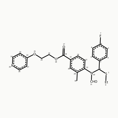 CCSC(c1ccc(F)cc1)N(C=O)c1ccc(C(=O)OCCOc2ccncc2)cc1C